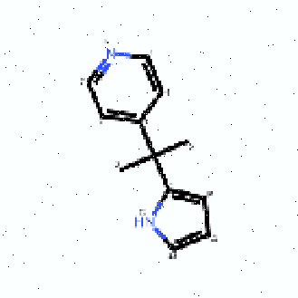 CC(C)(c1[c]cncc1)c1ccc[nH]1